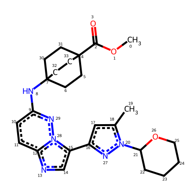 COC(=O)C12CCC(Nc3ccc4ncc(-c5cc(C)n(C6CCCCO6)n5)n4n3)(CC1)CC2